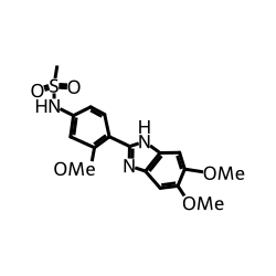 COc1cc2nc(-c3ccc(NS(C)(=O)=O)cc3OC)[nH]c2cc1OC